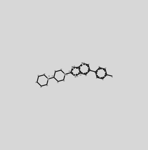 Cc1ccc(-c2cnc3nc(N4CCC(N5CCCCC5)CC4)sc3c2)cc1